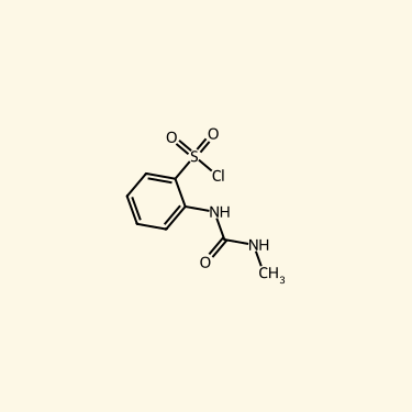 CNC(=O)Nc1ccccc1S(=O)(=O)Cl